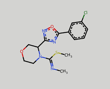 CN=C(SC)N1CCOCC1c1noc(-c2cccc(Cl)c2)n1